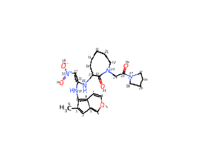 Cc1cc2coccc-2c1NC(=C[N+](=O)[O-])NC1CCCCCN(CC(=O)N2CCCC2)C1=O